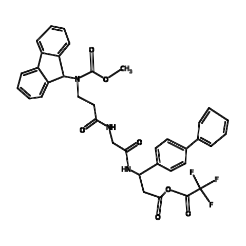 COC(=O)N(CCC(=O)NCC(=O)NC(CC(=O)OC(=O)C(F)(F)F)c1ccc(-c2ccccc2)cc1)C1c2ccccc2-c2ccccc21